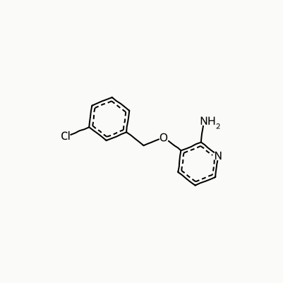 Nc1ncccc1OCc1cccc(Cl)c1